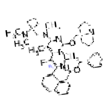 C=N/C(=C(/F)c1nc(OCC23CCCN2CCC3)nc(N(C)CC2(N(C)C)CCC2)c1C)c1cccc2cccc(C(=O)OCc3ccccc3)c12